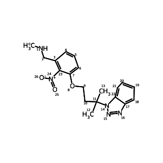 CNCc1cccc(OCCC(C)(C)n2nnc3ccccc32)c1[N+](=O)[O-]